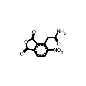 NC(=O)Cc1c([N+](=O)[O-])ccc2c1C(=O)OC2=O